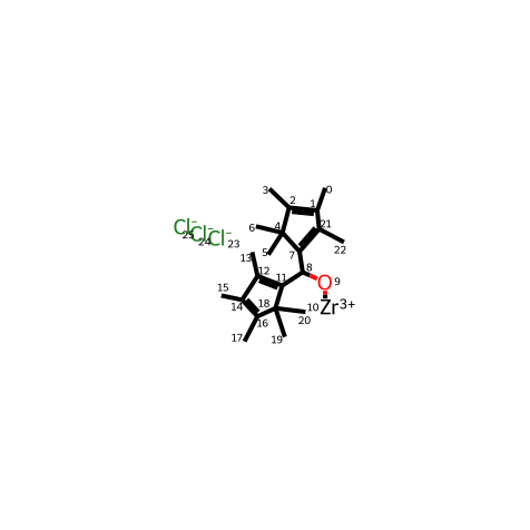 CC1=C(C)C(C)(C)C(C([O][Zr+3])C2=C(C)C(C)=C(C)C2(C)C)=C1C.[Cl-].[Cl-].[Cl-]